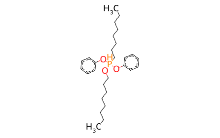 CCCCCCCCO[PH](CCCCCCCC)(Oc1ccccc1)Oc1ccccc1